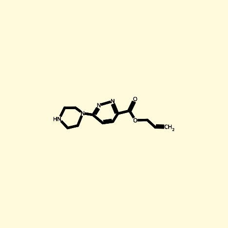 C=CCOC(=O)c1ccc(N2CCNCC2)nn1